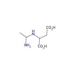 CC(N)NC(CC(=O)O)C(=O)O